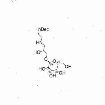 CCCCCCCCCCCCNCC(O)CO[C@H]1O[C@H](CO)[C@H](O)[C@H](O)[C@H]1O